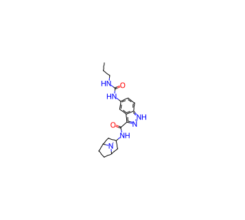 CCCNC(=O)Nc1ccc2[nH]nc(C(=O)NC3CC4CCC(C3)N4C)c2c1